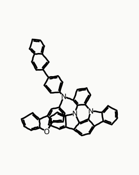 c1ccc2cc(-c3ccc(N(c4ccc5oc6ccccc6c5c4)c4cccc5c4n4c6ccccc6c6ccc7c8ccccc8n5c7c64)cc3)ccc2c1